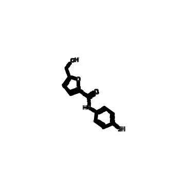 O=C(Nc1ccc(S)cc1)c1ccc(CO)o1